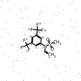 C=CN(c1cc(C(F)(F)F)cc(C(F)(F)F)c1)S(C)(=O)=O